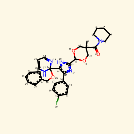 CC1(C(=O)N2CCCCC2)COC(c2nc(-c3ccc(F)cc3)c(C3(OCc4ccccc4)N=CC=CN3)[nH]2)OC1